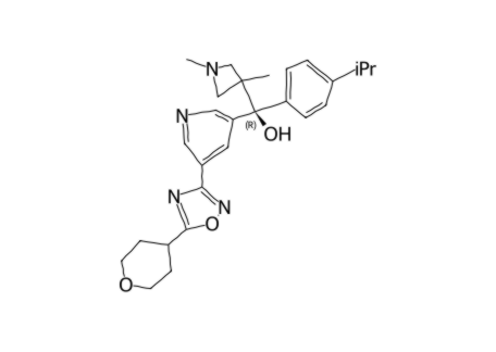 CC(C)c1ccc([C@](O)(c2cncc(-c3noc(C4CCOCC4)n3)c2)C2(C)CN(C)C2)cc1